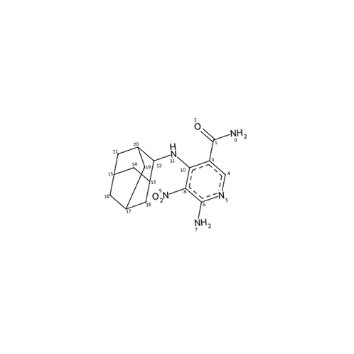 NC(=O)c1cnc(N)c([N+](=O)[O-])c1NC1C2CC3CC(C2)CC1C3